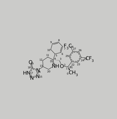 C[C@@H](OC[C@@]1(C2C=CC=CC2)CCC(n2nn[nH]c2=O)CN1)c1cc(C(F)(F)F)cc(C(F)(F)F)c1